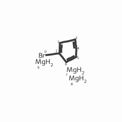 Brc1ccccc1.[MgH2].[MgH2].[MgH2]